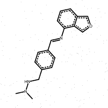 CN(C)NCc1ccc(C=Nc2cccc3cocc23)cc1